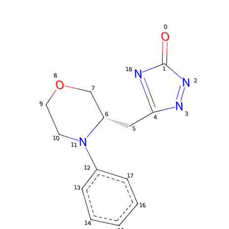 O=C1N=NC(C[C@H]2COCCN2c2ccccc2)=N1